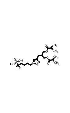 C=C(C)C(=O)OCC(COC(=O)C(=C)C)Cc1cn(CCCCC(F)(F)P(=O)(O)O)nn1